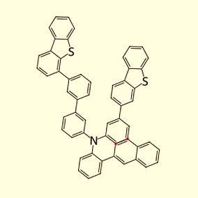 c1cc(-c2cccc(N(c3cccc(-c4ccc5c(c4)sc4ccccc45)c3)c3ccccc3-c3ccc4ccccc4c3)c2)cc(-c2cccc3c2sc2ccccc23)c1